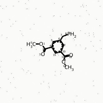 COC(=O)c1cc(CP)cc(C(=O)OC)c1